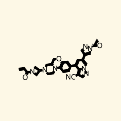 C=CC(=O)N1CC(N2CCN3c4ccc(-c5cc(-c6cnn([C@H]7CO7)c6)cn6ncc(C#N)c56)cc4OCC3C2)C1